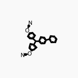 N#COc1ccc(C(c2ccc(OC#N)cc2)c2ccc(-c3ccccc3)cc2)cc1